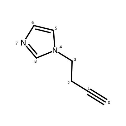 C#CCCn1ccnc1